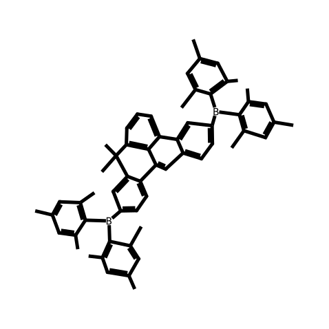 Cc1cc(C)c(B(c2ccc3c(c2)C(C)(C)c2cccc4c2c-3cc2ccc(B(c3c(C)cc(C)cc3C)c3c(C)cc(C)cc3C)cc24)c2c(C)cc(C)cc2C)c(C)c1